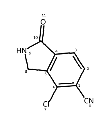 N#Cc1ccc2c(c1Cl)CNC2=O